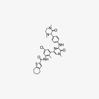 Cc1c(NC(=O)c2cc3c(s2)CCCC3)cc(Cl)cc1-c1cn(C)c(=O)c(Nc2ccc(C3C(=O)N(C)CCN3C)cc2)n1